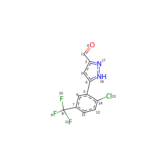 O=[C]c1cc(-c2cc(C(F)(F)F)ccc2Cl)[nH]n1